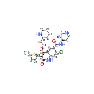 O=C(Nc1ccncn1)c1cc2c(OCCC3CCCCN3)c(-c3ccc(Cl)s3)c(=O)[nH]c2cc1Cl